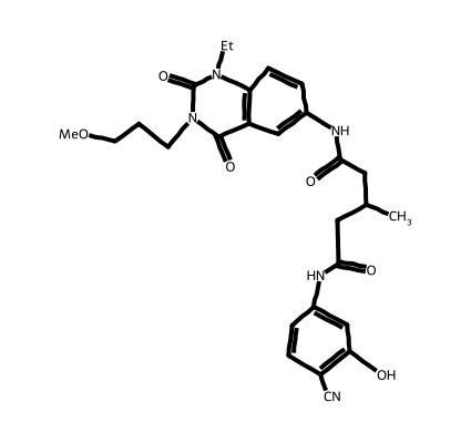 CCn1c(=O)n(CCCOC)c(=O)c2cc(NC(=O)CC(C)CC(=O)Nc3ccc(C#N)c(O)c3)ccc21